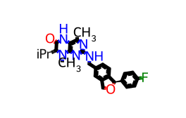 Cc1nc(NCc2ccc3c(c2)CO[C@@H]3c2ccc(F)cc2)nc2c1NC(=O)C(C(C)C)N2C